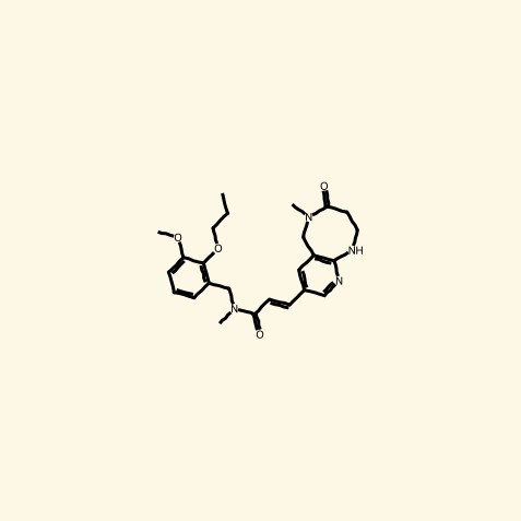 CCCOc1c(CN(C)C(=O)C=Cc2cnc3c(c2)CN(C)C(=O)CCN3)cccc1OC